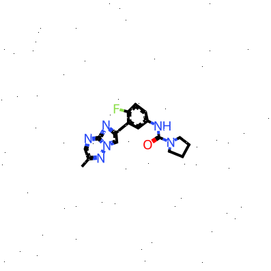 Cc1cnc2nc(-c3cc(NC(=O)N4CCCC4)ccc3F)cn2n1